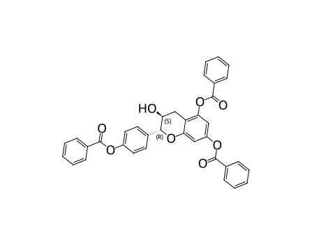 O=C(Oc1ccc([C@H]2Oc3cc(OC(=O)c4ccccc4)cc(OC(=O)c4ccccc4)c3C[C@@H]2O)cc1)c1ccccc1